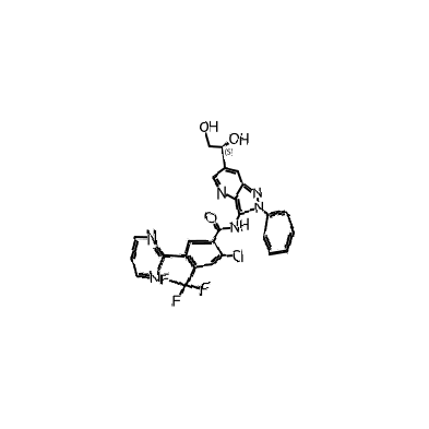 O=C(Nc1c2ncc([C@H](O)CO)cc2nn1-c1ccccc1)c1cc(-c2ncccn2)c(C(F)(F)F)cc1Cl